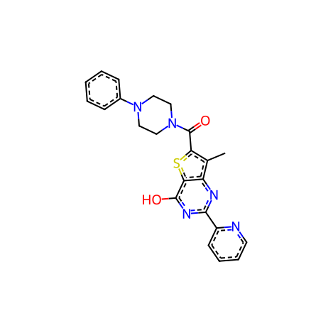 Cc1c(C(=O)N2CCN(c3ccccc3)CC2)sc2c(O)nc(-c3ccccn3)nc12